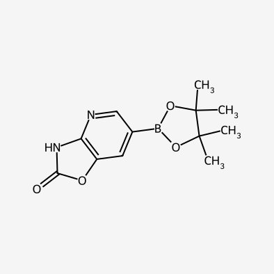 CC1(C)OB(c2cnc3[nH]c(=O)oc3c2)OC1(C)C